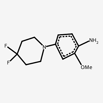 COc1cc(N2CCC(F)(F)CC2)ccc1N